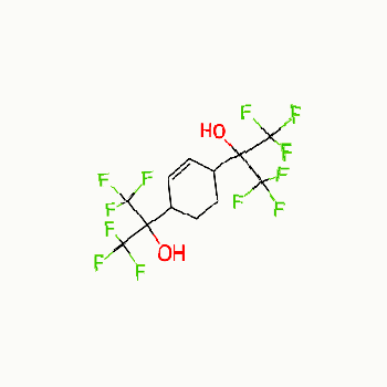 OC(C1C=CC(C(O)(C(F)(F)F)C(F)(F)F)CC1)(C(F)(F)F)C(F)(F)F